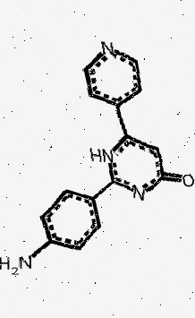 Nc1ccc(-c2nc(=O)cc(-c3ccncc3)[nH]2)cc1